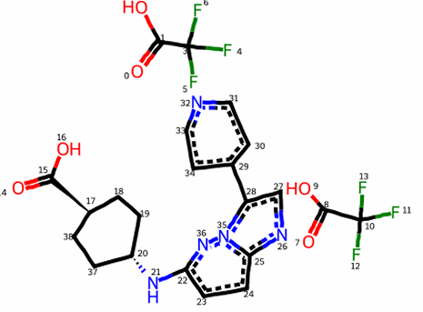 O=C(O)C(F)(F)F.O=C(O)C(F)(F)F.O=C(O)[C@H]1CC[C@H](Nc2ccc3ncc(-c4ccncc4)n3n2)CC1